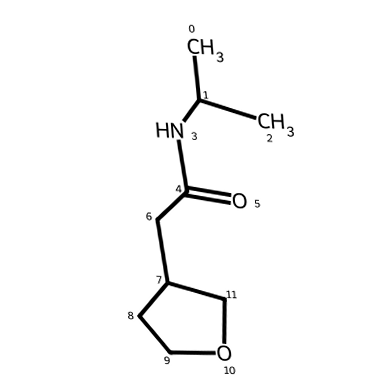 CC(C)NC(=O)CC1CCOC1